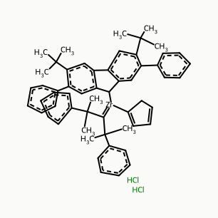 CC(C)(C)c1cc2c(cc1-c1ccccc1)[CH]([Zr]([C]1=CC=CC1)=[C](C(C)(C)c1ccccc1)C(C)(C)c1ccccc1)c1cc(-c3ccccc3)c(C(C)(C)C)cc1-2.Cl.Cl